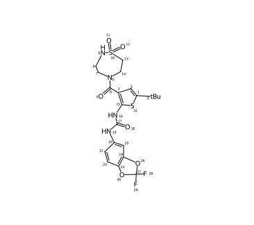 CC(C)(C)c1cc(C(=O)N2CCNS(=O)(=O)CC2)c(NC(=O)Nc2ccc3c(c2)OC(F)(F)O3)s1